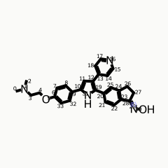 CN(C)CCOc1ccc(-c2cc(-c3ccncc3)c(-c3ccc4c(c3)CC/C4=N\O)[nH]2)cc1